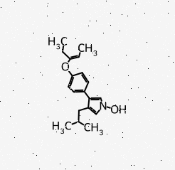 CC=C(CC)Oc1ccc(-c2cn(O)cc2CC(C)C)cc1